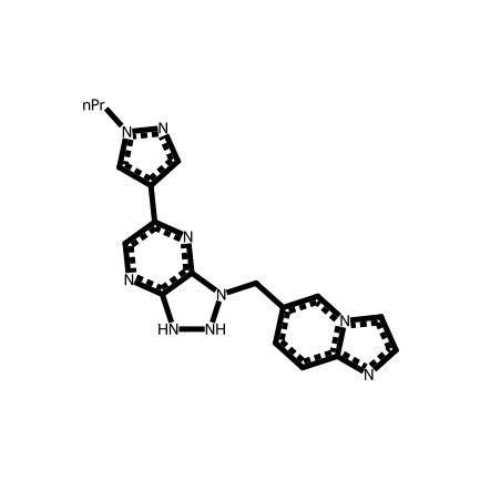 CCCn1cc(-c2cnc3c(n2)N(Cc2ccc4nccn4c2)NN3)cn1